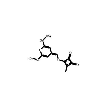 Cc1c(OC=C2C=C([Se]C(C)(C)C)OC([Se]C(C)(C)C)=C2)c(=O)c1=O